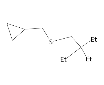 CCC(CC)(CC)CSCC1CC1